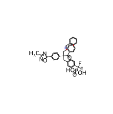 Cc1noc(-c2ccc(C(C/C=C/c3ccccc3)(Cc3ccc(C(F)(F)P(=O)(O)O)cc3)C(=O)c3ccccc3)cc2)n1